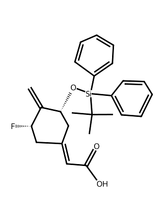 C=C1[C@@H](F)C/C(=C/C(=O)O)C[C@H]1O[Si](c1ccccc1)(c1ccccc1)C(C)(C)C